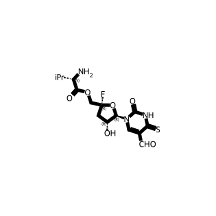 CC(C)[C@H](N)C(=O)OC[C@]1(F)C[C@@H](O)[C@H](n2cc(C=O)c(=S)[nH]c2=O)O1